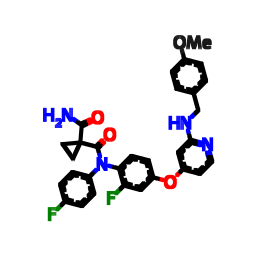 COc1ccc(CNc2cc(Oc3ccc(N(C(=O)C4(C(N)=O)CC4)c4ccc(F)cc4)c(F)c3)ccn2)cc1